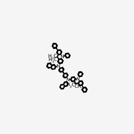 CC1(C)c2cc(-c3ccccc3)ccc2N(c2ccccc2)c2ccc(N(c3ccc(-c4ccc(N(c5ccc6c(c5)C(C)(C)c5cc(-c7ccccc7)ccc5N6c5ccccc5)c5ccc6ccccc6c5)cc4)cc3)c3ccc4ccccc4c3)cc21